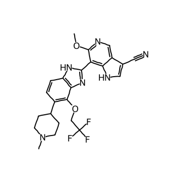 COc1ncc2c(C#N)c[nH]c2c1-c1nc2c(OCC(F)(F)F)c(C3CCN(C)CC3)ccc2[nH]1